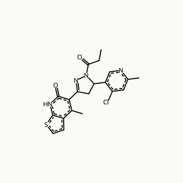 CCC(=O)N1N=C(c2c(C)c3ccsc3[nH]c2=O)CC1c1cnc(C)cc1Cl